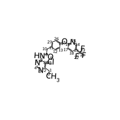 CCc1ncnc(NC(=O)Cc2ccc(Oc3ccc(C(F)(F)F)cn3)cc2)c1Cl